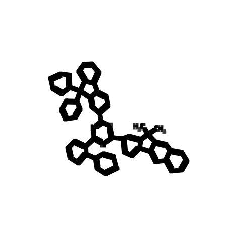 CC1(C)c2cc(-c3nc(-c4ccc5c(c4)C(c4ccccc4)(c4ccccc4)c4ccccc4-5)nc(-c4ccccc4-c4ccccc4)n3)ccc2-c2cc3ccccc3cc21